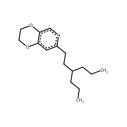 CCCC(CCC)CCc1cc2c(cn1)OCCO2